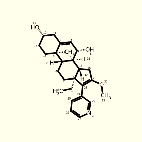 CC[C@]12CC[C@H]3[C@@H]([C@@H](O)C=C4C[C@@H](O)CC[C@@]43C)[C@@H]1CC(OC)=C2c1cccnc1